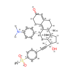 CC(C)S(=O)(=O)c1ccc(C#C[C@]2(O)CC[C@H]3[C@@H]4CCC5=CC(=O)CCC5=C4[C@@H](c4ccc(N(C)C)cc4)C[C@@]32C)cc1